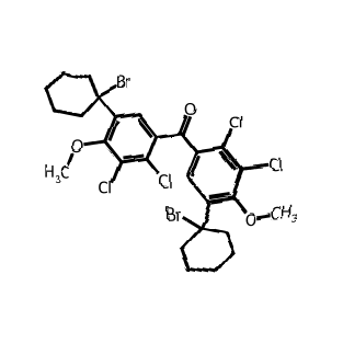 COc1c(C2(Br)CCCCC2)cc(C(=O)c2cc(C3(Br)CCCCC3)c(OC)c(Cl)c2Cl)c(Cl)c1Cl